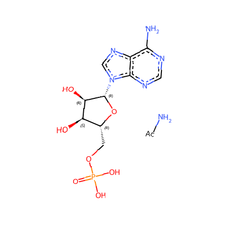 CC(N)=O.Nc1ncnc2c1ncn2[C@@H]1O[C@H](COP(=O)(O)O)[C@@H](O)[C@H]1O